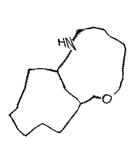 C1CNC2CCCCC2OC1